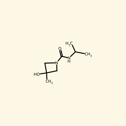 CC(C)NC(=O)N1CC(C)(O)C1